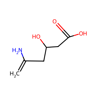 C=C(N)CC(O)CC(=O)O